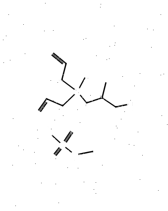 C=CC[N+](C)(CC=C)CC(O)CCl.COS(=O)(=O)[O-]